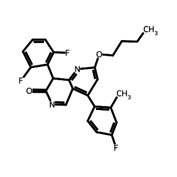 CCCCOc1cc(-c2ccc(F)cc2C)c2c(n1)C(c1c(F)cccc1F)C(=O)N=C2